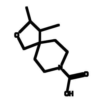 CC1OCC2(CCN(C(=O)O)CC2)C1C